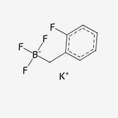 Fc1ccccc1C[B-](F)(F)F.[K+]